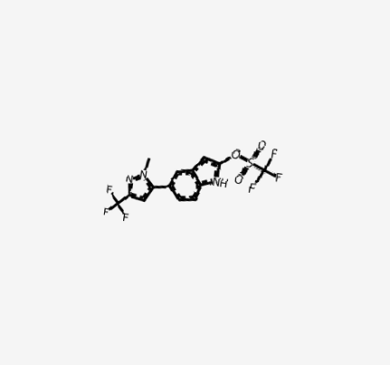 Cn1nc(C(F)(F)F)cc1-c1ccc2[nH]c(OS(=O)(=O)C(F)(F)F)cc2c1